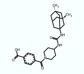 C[C@]12CC3CC(NC(=O)NC4CCN(C(=O)c5ccc(C(=O)O)cc5)CC4)(C1)C[C@@](C)(C3)C2